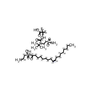 CC(C)(C)N(CCS(N)(=O)=O)C(=O)O.CCCCCCCC/C=C\CCCCCCCC(=O)NS(=O)(=O)CCN.O=C(O)C(F)(F)F